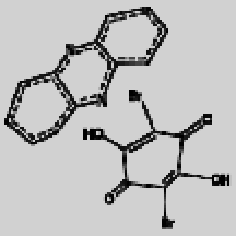 O=C1C(O)=C(Br)C(=O)C(O)=C1Br.c1ccc2nc3ccccc3nc2c1